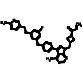 C=CC(=O)N1CC(Cn2nc(-c3ccc(Oc4cc(F)cc(OCc5cnc(C)nc5)c4)cc3)c3c(N)ncnc32)C1